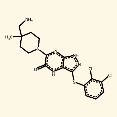 CC1(CN)CCN(c2nc3[nH]nc(Sc4cccc(Cl)c4Cl)c3[nH]c2=O)CC1